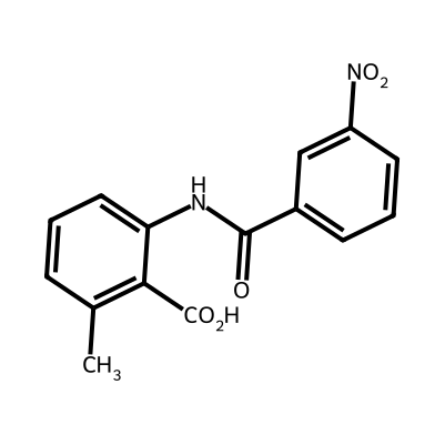 Cc1cccc(NC(=O)c2cccc([N+](=O)[O-])c2)c1C(=O)O